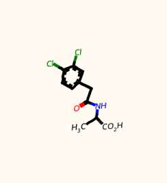 CC(NC(=O)Cc1ccc(Cl)c(Cl)c1)C(=O)O